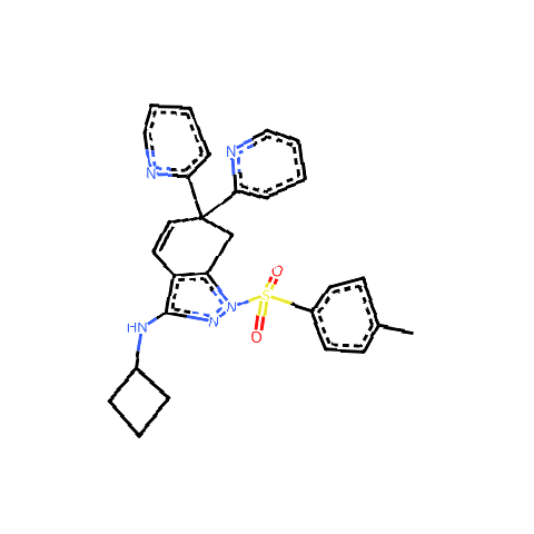 Cc1ccc(S(=O)(=O)n2nc(NC3CCC3)c3c2CC(c2ccccn2)(c2ccccn2)C=C3)cc1